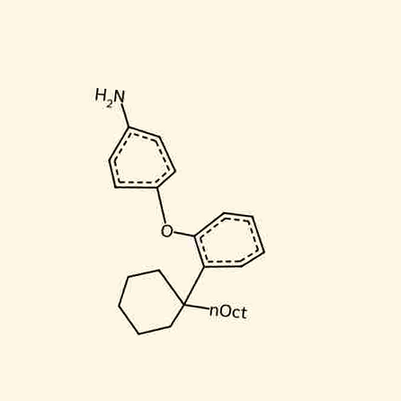 CCCCCCCCC1(c2ccccc2Oc2ccc(N)cc2)CCCCC1